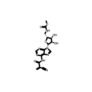 C=C(C#N)C(=O)Nc1ncnc2c1ncn2[C@@H]1O[C@H](CNC(=O)OC)[C@@H](O)[C@H]1O